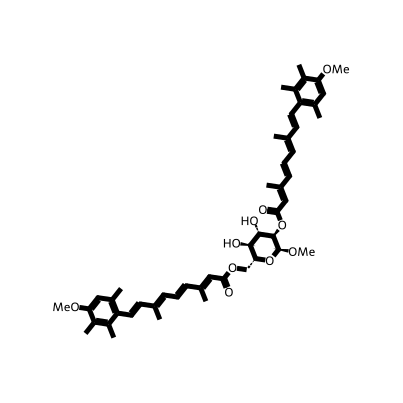 COc1cc(C)c(/C=C/C(C)=C/C=C/C(C)=C/C(=O)OC[C@H]2O[C@H](OC)[C@H](OC(=O)/C=C(C)/C=C/C=C(C)/C=C/c3c(C)cc(OC)c(C)c3C)[C@@H](O)[C@@H]2O)c(C)c1C